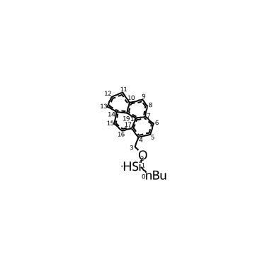 CCCC[SiH]OCc1ccc2ccc3cccc4ccc1c2c34